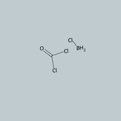 BCl.O=C(Cl)Cl